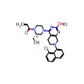 C=CC(=O)N1CCN(c2nc(OCC)nc3c2CCN(c2cccc4cccc(Cl)c24)C3)C[C@@H]1CC#N